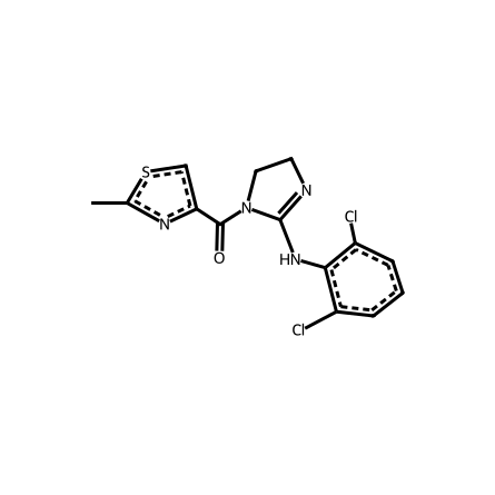 Cc1nc(C(=O)N2CCN=C2Nc2c(Cl)cccc2Cl)cs1